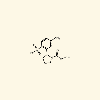 CC(C)S(=O)(=O)c1ccc(N)cc1[C@@H]1CCCN1C(=O)OC(C)(C)C